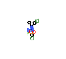 O=S(=O)(/N=C(\NCCF)N1CC(c2ccccc2)C(c2ccc(Cl)cc2)=N1)c1ccc(Cl)cc1